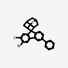 Clc1cc2c(cc1Br)-c1cc(-c3ccccc3)ccc1C21C2CC3CC4CC1C42C3